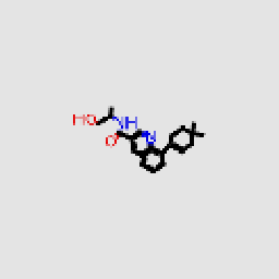 CC(CO)NC(=O)c1cnc2c(C3=CCC(C)(C)CC3)cccc2c1